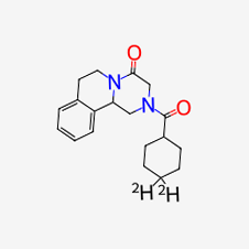 [2H]C1([2H])CCC(C(=O)N2CC(=O)N3CCc4ccccc4C3C2)CC1